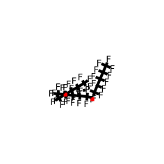 FC(F)(F)C(F)(F)C(F)(F)C(F)(F)C(F)(F)P(F)(F)(C(F)(F)C(F)(F)C(F)(F)C(F)(F)C(F)(F)F)C(F)(F)C(F)(F)C(F)(F)C(F)(F)C(F)(F)F